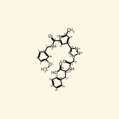 COc1cccc(CNC(=O)c2cc(-c3nnn(CC(=O)NC(Cc4ccccc4)C(=O)O)n3)cc(C)n2)c1